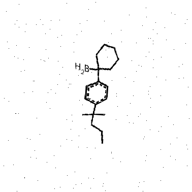 BC1(c2ccc(C(C)(C)CCC)cc2)CCCCC1